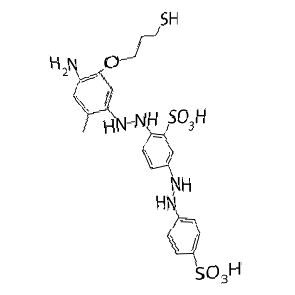 Cc1cc(N)c(OCCCS)cc1NNc1ccc(NNc2ccc(S(=O)(=O)O)cc2)cc1S(=O)(=O)O